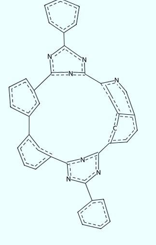 c1ccc(-c2nc3nc(n2)-c2ccc4cnc(cc4c2)-c2nc(-c4ccccc4)nc(n2)-c2cccc(c2)-c2cccc-3c2)cc1